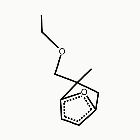 CCOCC1(C)Cc2ccc1o2